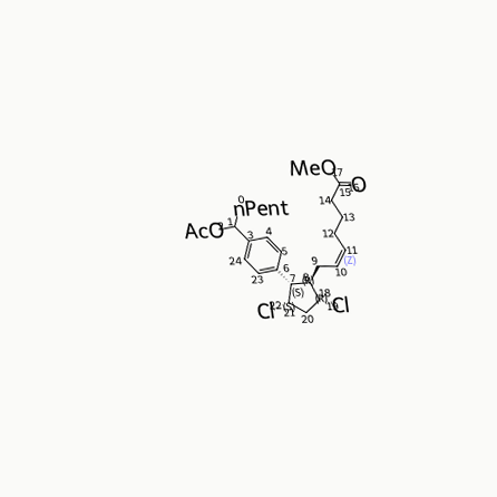 CCCCCC(OC(C)=O)c1ccc([C@@H]2[C@@H](C/C=C\CCCC(=O)OC)[C@H](Cl)C[C@@H]2Cl)cc1